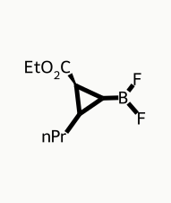 CCCC1C(B(F)F)[C@@H]1C(=O)OCC